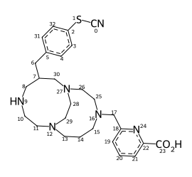 N#CSc1ccc(CC2CNCCN3CCCN(Cc4cccc(C(=O)O)n4)CCN(CC3)C2)cc1